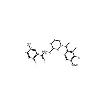 COc1ccc(C(C)N2CCCC(CNC(=O)c3cc(Cl)ccc3Cl)C2)c(C)c1C